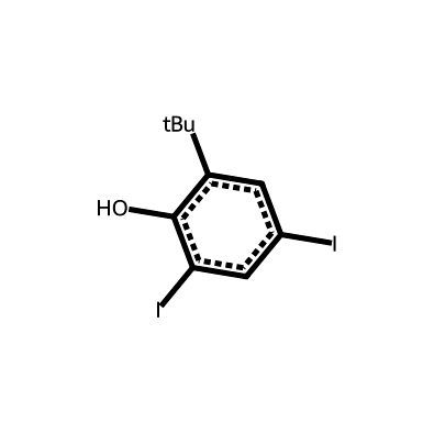 CC(C)(C)c1cc(I)cc(I)c1O